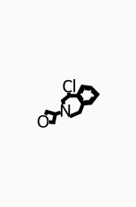 ClC1CN(C2COC2)CCc2ccccc21